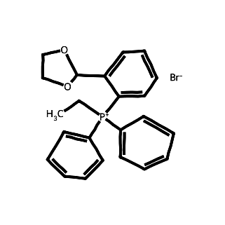 CC[P+](c1ccccc1)(c1ccccc1)c1ccccc1C1OCCO1.[Br-]